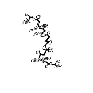 CCCCC(CC)COC(=O)C[S][Sn]([CH2]CCC)([CH2]CCC)[CH2]C(CC)CC(CC)OC(=O)C=CC(=O)OC(CC)CC(CC)[CH2][Sn]([CH2]CCC)([CH2]CCC)[S]CC(=O)OCC(CC)CCCC